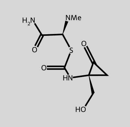 CN[C@@H](SC(=O)N[C@@]1(CO)CC1=O)C(N)=O